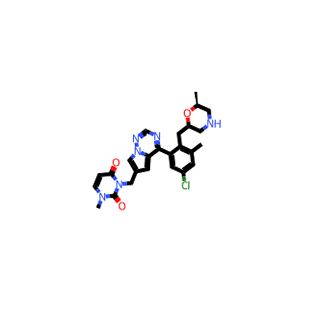 Cc1cc(Cl)cc(-c2ncnn3cc(Cn4c(=O)ccn(C)c4=O)cc23)c1CC1CNC[C@H](C)O1